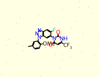 COc1ccc(C)cc1-n1nnc2cc(F)c(-n3c(=O)cc(C(F)(F)F)[nH]c3=O)cc21